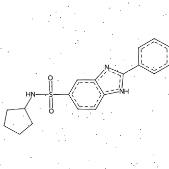 O=S(=O)(NC1CCCC1)c1ccc2[nH]c(-c3ccccc3)nc2c1